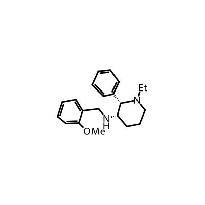 CCN1CCC[C@H](NCc2ccccc2OC)[C@@H]1c1ccccc1